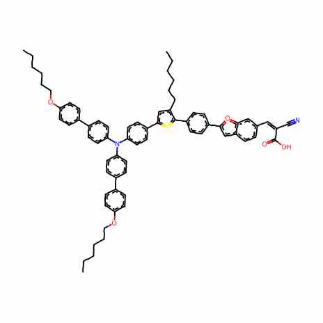 CCCCCCOc1ccc(-c2ccc(N(c3ccc(-c4ccc(OCCCCCC)cc4)cc3)c3ccc(-c4cc(CCCCCC)c(-c5ccc(-c6cc7ccc(/C=C(/C#N)C(=O)O)cc7o6)cc5)s4)cc3)cc2)cc1